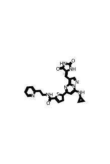 O=C1NC(=O)/C(=C/c2cnn3c(NC4CC4)cc(C4CC=C(C(=O)NCCc5ccccn5)S4)nc23)N1